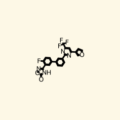 O=c1[nH]c(-c2cc(-c3cccc(-c4nc(-c5ccoc5)cc(C(F)(F)F)n4)c3)ccc2F)no1